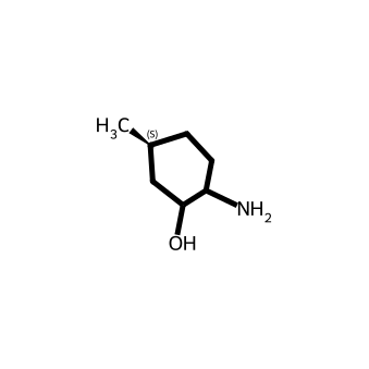 C[C@H]1CCC(N)C(O)C1